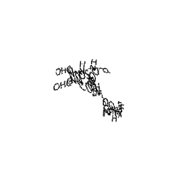 C#C[C@H]1CC(F)(F)CN1C(=O)CNC(=O)c1ccnc2ccc(OCCCCC3CCN(C(=O)CCCN4C(=O)CC(SCC(CCCCNC(=O)CCCc5ccc(C)cc5)NC(=O)CN5CCN(COC=O)CCN(COC=O)CCN(CC(=O)O)CC5)C4=O)CC3)cc12